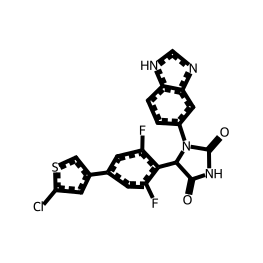 O=C1NC(=O)N(c2ccc3[nH]cnc3c2)C1c1c(F)cc(-c2csc(Cl)c2)cc1F